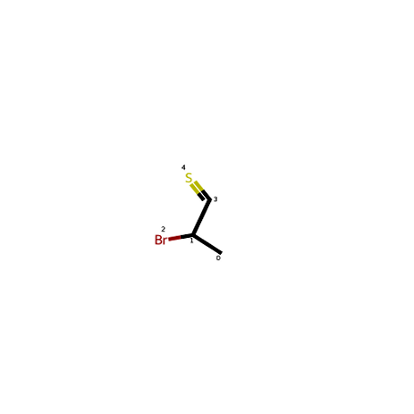 CC(Br)C=S